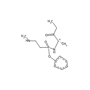 CCC(=O)[C@H](C)NP(=O)(CCNC)Oc1ccccc1